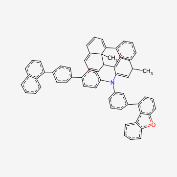 CC1C=C(N(c2ccc(-c3ccc(-c4cccc5ccccc45)cc3)cc2)c2cccc(-c3cccc4oc5ccccc5c34)c2)C(C2C=CC=C3C=CC=C(c4ccccc4)C32C)=CC1